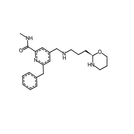 CNC(=O)c1cc(CNCCC[C@@H]2NCCCO2)cc(Cc2ccccc2)n1